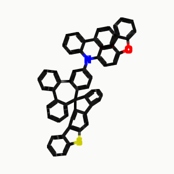 c1ccc(-c2ccccc2N(c2ccc3c(c2)-c2ccccc2-c2ccccc2C32c3ccccc3-c3cc4sc5ccccc5c4cc32)c2ccc3oc4ccccc4c3c2)cc1